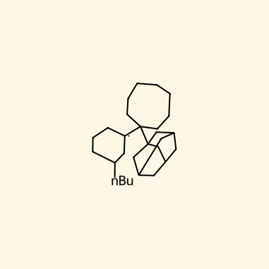 CCCCC1CCC[C](C2(C34CC5CC(CC(C5)C3)C4)CCCCCCC2)C1